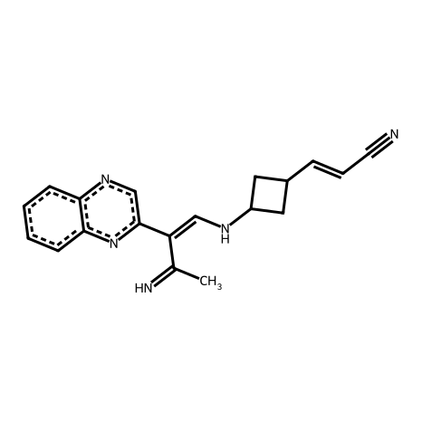 CC(=N)/C(=C\NC1CC(/C=C/C#N)C1)c1cnc2ccccc2n1